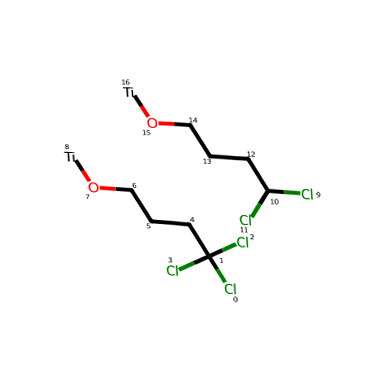 ClC(Cl)(Cl)CCC[O][Ti].ClC(Cl)CCC[O][Ti]